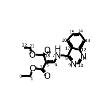 CCOC(=O)C(=CNc1ncnc2ccccc12)C(=O)OCC